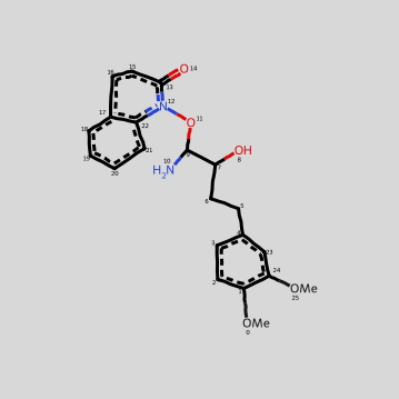 COc1ccc(CCC(O)C(N)On2c(=O)ccc3ccccc32)cc1OC